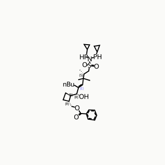 CCCC/C(=C\C(C)(C)[C@H](C)CS(=O)(=O)N(PC1CC1)PC1CC1)[C@H](O)[C@@H]1CC[C@H]1COC(=O)c1ccccc1